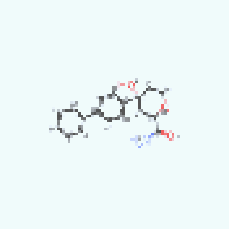 NC(=O)C1[CH][C@@](O)(c2ccc(-c3ccccc3)cc2)CCO1